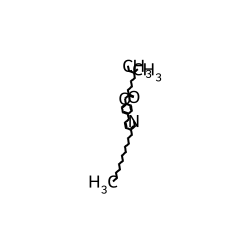 CCCCCCCCCCCCc1ccc(-c2ccc(OC(=O)CCCCC(C)CC)cc2)nc1